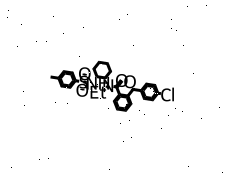 CCN(C(=O)c1ccccc1C(=O)c1ccc(Cl)cc1)C1CCCCC1NS(=O)(=O)c1ccc(C)cc1